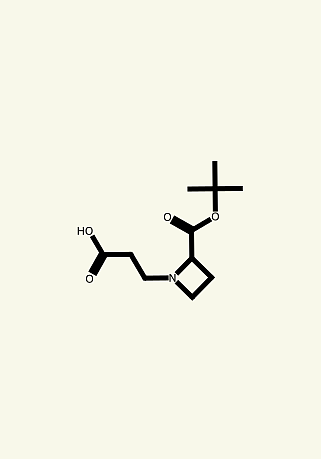 CC(C)(C)OC(=O)C1CCN1CCC(=O)O